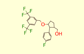 OCC1CCC(OCc2cc(C(F)(F)F)cc(C(F)(F)F)c2)C1c1ccc(F)cc1